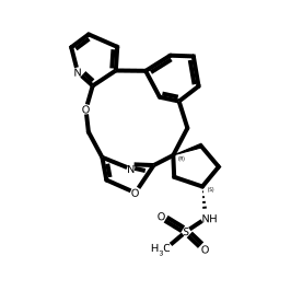 CS(=O)(=O)N[C@H]1CC[C@@]2(Cc3cccc(c3)-c3cccnc3OCc3coc2n3)C1